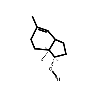 [3H]O[C@H]1CCC2C=C(C)CC[C@@]21C